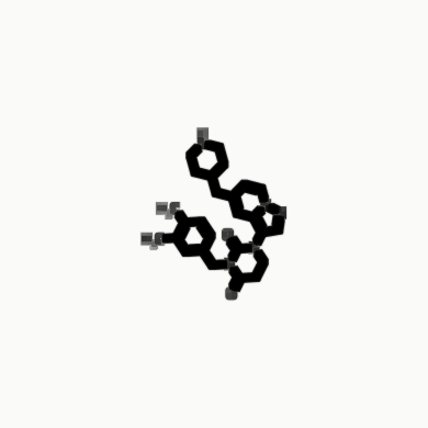 Cc1ccc(CN2C(=O)CCN(c3cnn4ccc(CC5CCNCC5)cc34)C2=O)cc1C